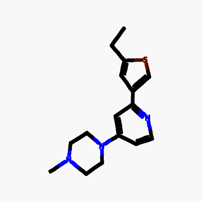 CCc1cc(-c2cc(N3CCN(C)CC3)ccn2)cs1